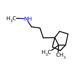 CNCCCC12CCC(CC1)C2(C)C